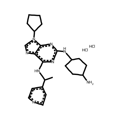 CC(Nc1nc(NC2CCC(N)CC2)nc2c1ncn2C1CCCC1)c1ccncc1.Cl.Cl